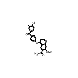 COc1cc2nccc(Oc3ccc(C(=O)c4ccc(Cl)c(F)c4)cc3)c2cc1C(N)=O